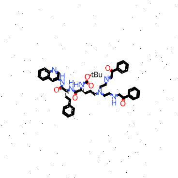 CC(C)(C)OC(=O)N[C@@H](CCCN(CC/N=C/C(=O)c1ccccc1)CCNCC(=O)c1ccccc1)C(=O)N[C@H](CCc1ccccc1)C(=O)Nc1cnc2ccccc2c1